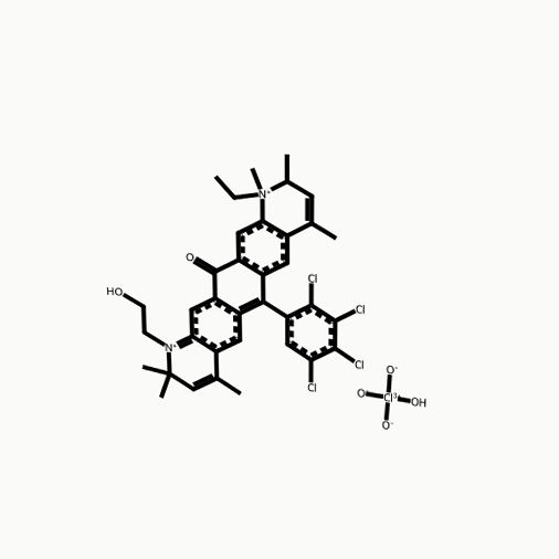 CC[N+]1(C)c2cc3c(cc2C(C)=CC1C)C(c1cc(Cl)c(Cl)c(Cl)c1Cl)=c1cc2c(cc1C3=O)=[N+](CCO)C(C)(C)C=C2C.[O-][Cl+3]([O-])([O-])O